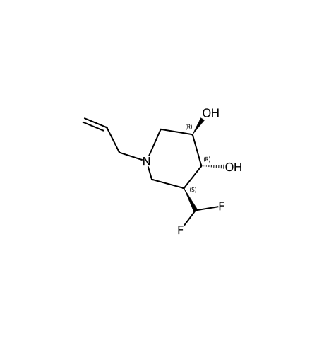 C=CCN1C[C@@H](O)[C@H](O)[C@@H](C(F)F)C1